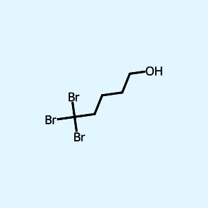 OCCCCC(Br)(Br)Br